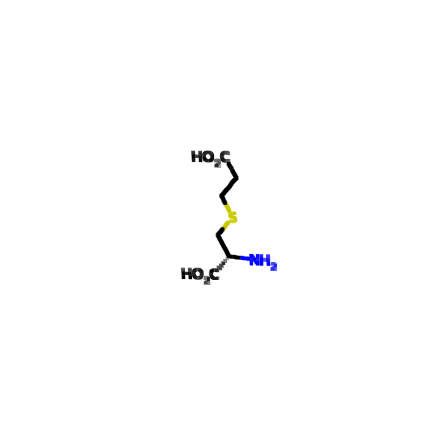 N[C@@H](CSCCC(=O)O)C(=O)O